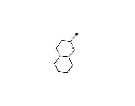 CC(C)(C)C1CCN2CCCCC2C1